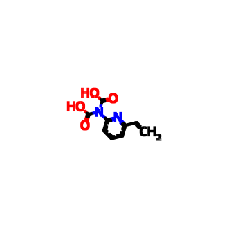 C=Cc1cccc(N(C(=O)O)C(=O)O)n1